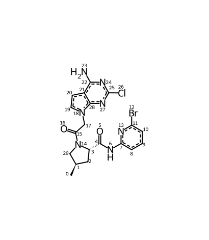 C[C@@H]1C[C@@H](C(=O)Nc2cccc(Br)n2)N(C(=O)Cn2ccc3c(N)nc(Cl)nc32)C1